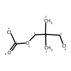 CC(C)(CCl)COC(=O)Cl